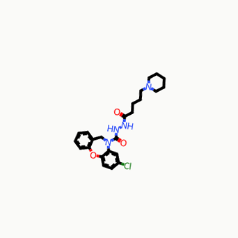 O=C(CCCCN1CCCCC1)NNC(=O)N1Cc2ccccc2Oc2ccc(Cl)cc21